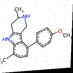 COc1ccc(-c2ccc(C)c3[nH]c4c(c23)CNC(C)C4)cc1